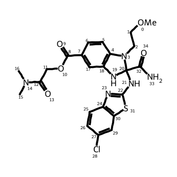 COCCN1c2ccc(C(=O)OCC(=O)N(C)C)cc2NC1(Nc1nc2ccc(Cl)cc2s1)C(N)=O